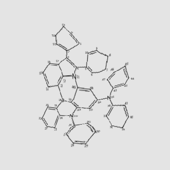 C1=CC(c2c(C3=CCCC=C3)n3c4c(cccc24)B2c4ccccc4N(c4ccccc4)c4cc(N(C5=CCCC=C5)c5ccccc5)cc-3c42)=CCC1